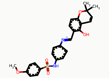 COc1ccc(S(=O)(=O)Nc2ccc(/N=C/c3ccc4c(c3O)C=CC(C)(C)O4)cc2)cc1